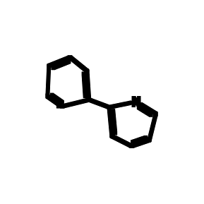 [c]1ccccc1-c1ccccn1